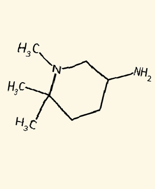 CN1CC(N)CCC1(C)C